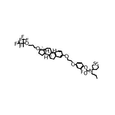 CCCN(C(=O)Oc1ccc(OCCOc2ccc3c(c2)CC[C@@H]2[C@@H]3CC[C@]3(C)[C@@H](OCCCOC(C)(C(F)(F)F)C(F)(F)F)CC[C@@H]23)cc1F)C1CCSSC1